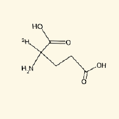 [2H]C(N)(CCC(=O)O)C(=O)O